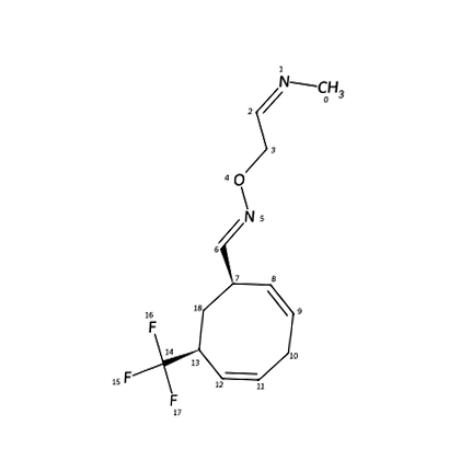 C/N=C\CO/N=C/[C@H]1/C=C\C/C=C\[C@@H](C(F)(F)F)C1